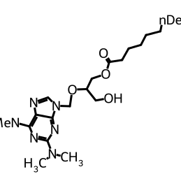 CCCCCCCCCCCCCCCC(=O)OCC(CO)OCn1cnc2c(NC)nc(N(C)C)nc21